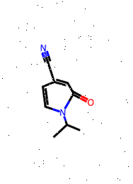 CC(C)n1ccc(C#N)cc1=O